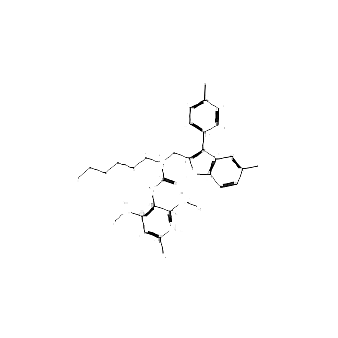 CCCCCCN(Cc1oc2ccc(C)cc2c1-c1ccc(C)cc1)C(=O)Nc1c(SC)cc(C)nc1SC